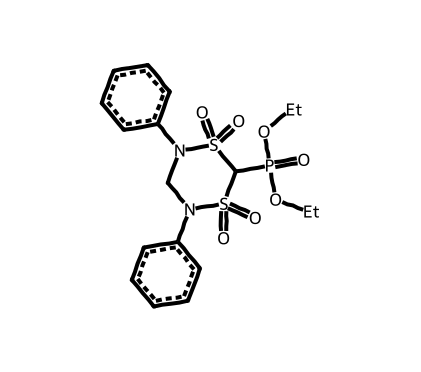 CCOP(=O)(OCC)C1S(=O)(=O)N(c2ccccc2)CN(c2ccccc2)S1(=O)=O